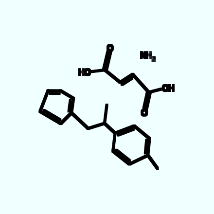 Cc1ccc(C(C)Cc2ccccc2)cc1.N.O=C(O)C=CC(=O)O